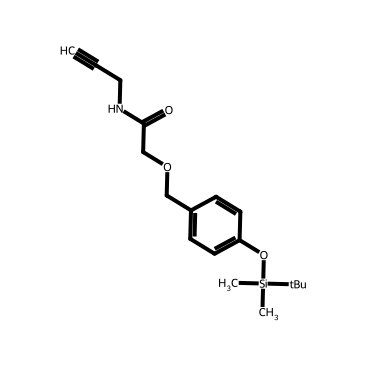 C#CCNC(=O)COCc1ccc(O[Si](C)(C)C(C)(C)C)cc1